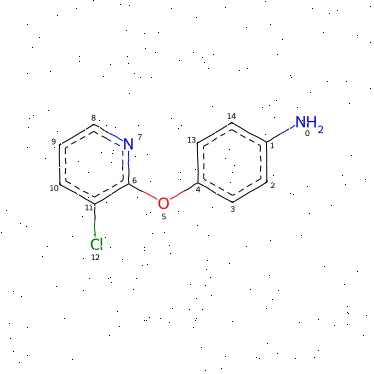 Nc1ccc(Oc2ncccc2Cl)cc1